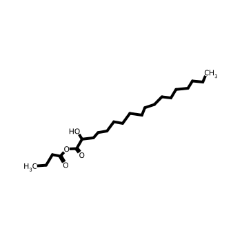 CCCCCCCCCCCCCCCCC(O)C(=O)OC(=O)CCC